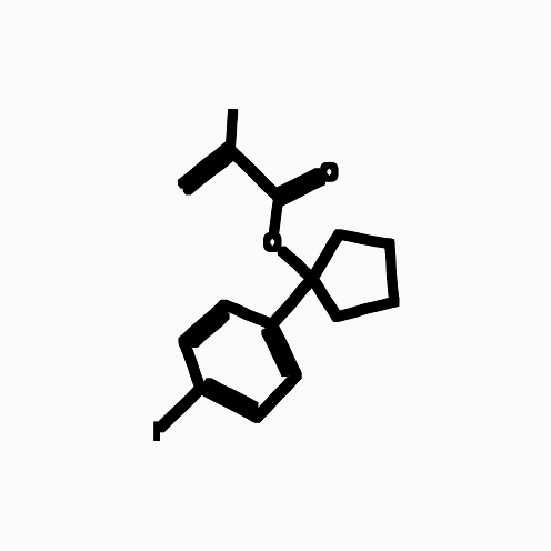 C=C(C)C(=O)OC1(c2ccc(I)cc2)CCCC1